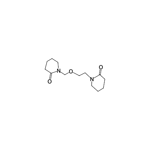 O=C1CCCCN1CCOCN1CCCCC1=O